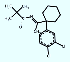 C/C(=N\[S@+]([O-])C(C)(C)C)C1(c2ccc(Cl)c(Cl)c2)CCCCC1